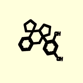 Oc1ccc(C23CCCC2C2(CCCC2)c2ccccc2C3)c(O)c1